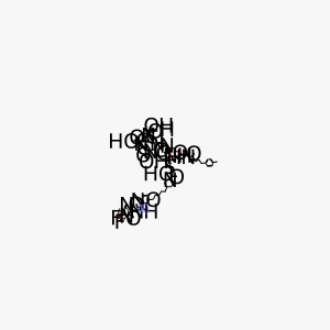 C=Nc1ccc(OCCCCC2CCN(C(=O)C(O)CSCCNC(=O)C(CCOCCNC(=O)CCCc3ccc(C)cc3)NC(=O)CN3CCN(CC(=O)O)CCN(CC(=O)O)CCN(CC(=O)O)CC3)CC2)cc1/C(=C\C)C(=O)NCC(=O)N1CC(F)(F)C[C@@H]1C#N